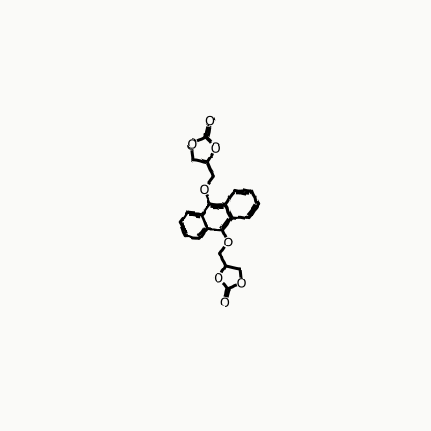 O=C1OCC(COc2c3ccccc3c(OCC3COC(=O)O3)c3ccccc23)O1